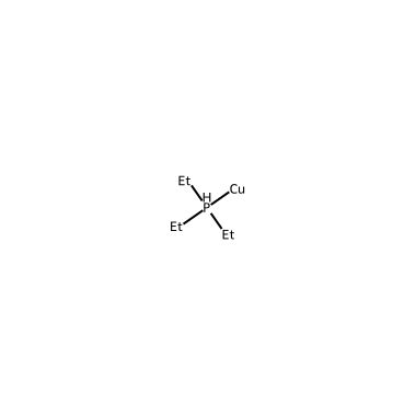 CC[PH]([Cu])(CC)CC